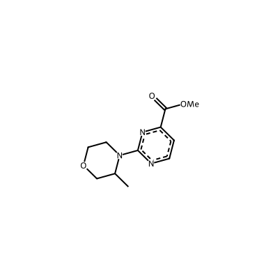 COC(=O)c1ccnc(N2CCOCC2C)n1